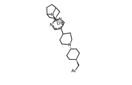 CC(=O)C[C@H]1CC[C@H](N2CCC(c3cnc(N4C5CCC4CN(C)C5)nc3)CC2)CC1